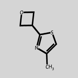 Cc1csc(C2COC2)n1